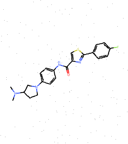 CN(C)C1CCN(c2ccc(NC(=O)c3csc(-c4ccc(F)cc4)n3)cc2)C1